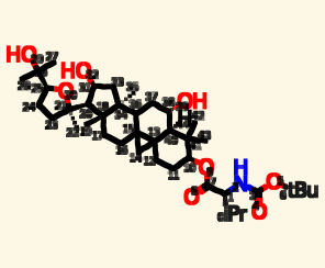 CC(C)[C@H](NC(=O)OC(C)(C)C)C(=O)O[C@H]1CCC23CC24CC[C@]2(C)[C@@H]([C@@]5(C)CC[C@@H](C(C)(C)O)O5)[C@@H](O)C[C@@]2(C)C4C[C@H](O)[C@H]3C1(C)C